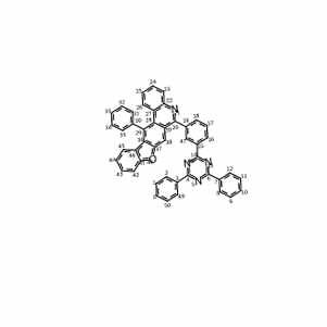 c1ccc(-c2nc(-c3ccccc3)nc(-c3cccc(-c4nc5ccccc5c5c(-c6ccccc6)c6c(cc45)oc4ccccc46)c3)n2)cc1